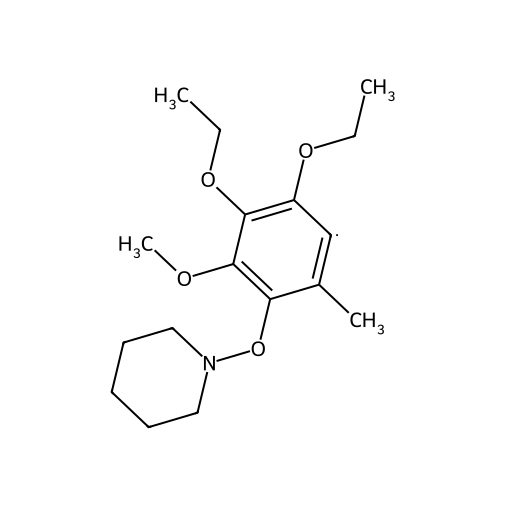 CCOc1[c]c(C)c(ON2CCCCC2)c(OC)c1OCC